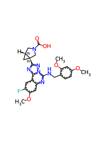 COc1ccc(CNc2nc3cc(OC)c(F)cc3c3nc([C@@]45C[C@@H]4CN(C(=O)O)C5)nn23)c(OC)c1